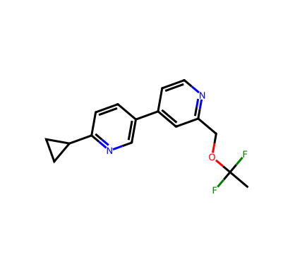 CC(F)(F)OCc1cc(-c2ccc(C3CC3)nc2)ccn1